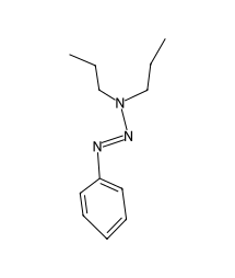 CCCN(CCC)N=Nc1ccccc1